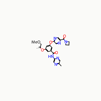 COC[C@@H](C)Oc1cc(Oc2cnc(C(=O)N3CCC3)cn2)cc(C(=O)Nc2cnc(C)cn2)c1